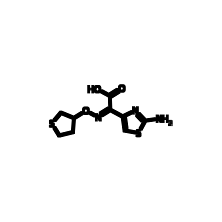 Nc1nc(C(=NOC2CCSC2)C(=O)O)cs1